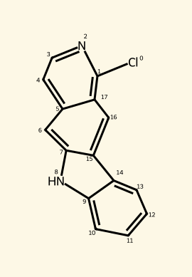 Clc1nccc2cc3[nH]c4ccccc4c3cc12